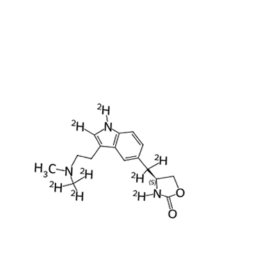 [2H]c1c(CCN(C)C([2H])([2H])[2H])c2cc(C([2H])([2H])[C@H]3COC(=O)N3[2H])ccc2n1[2H]